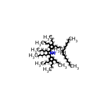 CCCCCCC1=C(c2cc(CCCC)c(CCCC)c(CCCC)c2)[N+](=[N-])C(c2cc(CCCC)c(CCCC)c(CCCC)c2)=C1CCCCC.CCCCCCC[CH2][Pd][CH2]CCCCCCC